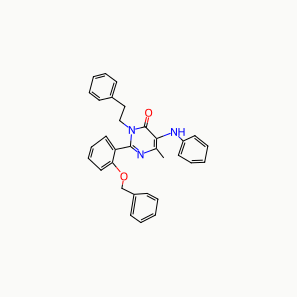 Cc1nc(-c2ccccc2OCc2ccccc2)n(CCc2ccccc2)c(=O)c1Nc1ccccc1